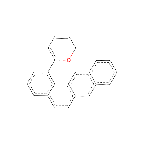 C1=CCOC(c2cccc3ccc4cc5ccccc5cc4c23)=C1